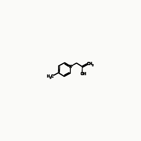 C=C(O)C[n+]1ccc(C)cc1